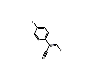 N#C/C(=C\F)c1ccc(F)cc1